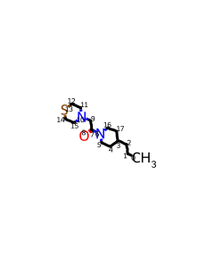 CCCC1CCN(C(=O)CN2CCSCC2)CC1